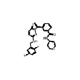 O=C(NC1CCOCC1)c1cccc(-c2cnc3ccc(NCc4cc(F)ccc4F)nn23)c1